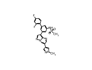 Cn1cc(-c2cnc3c(-c4cc(NS(C)(=O)=O)cc(-c5ccc(F)cc5F)c4)cnn3c2)cn1